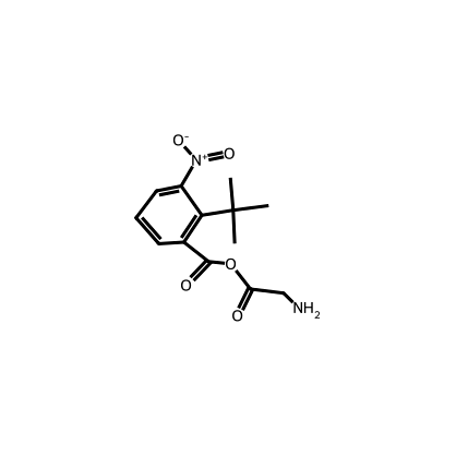 CC(C)(C)c1c(C(=O)OC(=O)CN)cccc1[N+](=O)[O-]